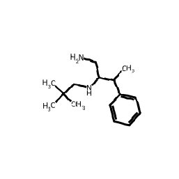 CC(c1ccccc1)C(CN)NCC(C)(C)C